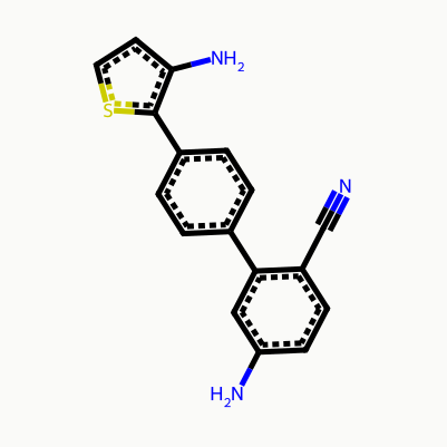 N#Cc1ccc(N)cc1-c1ccc(-c2sccc2N)cc1